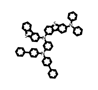 c1ccc(-c2ccc(N(c3ccc(-c4ccccc4)cc3)c3cccc(N(c4ccc5sc6ccccc6c5c4)c4ccc5sc6cc(N(c7ccccc7)c7ccccc7)ccc6c5c4)c3)cc2)cc1